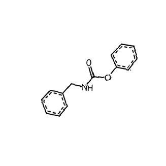 O=C(NCc1ccccc1)Oc1[c]cccc1